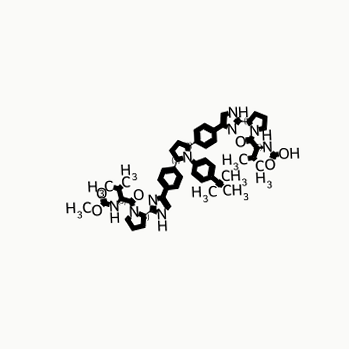 COC(=O)N[C@H](C(=O)N1CCC[C@H]1c1nc(-c2ccc([C@@H]3CC[C@H](c4ccc(-c5c[nH]c([C@@H]6CCCN6C(=O)[C@@H](NC(=O)O)C(C)C)n5)cc4)N3c3ccc(C(C)(C)C)cc3)cc2)c[nH]1)C(C)C